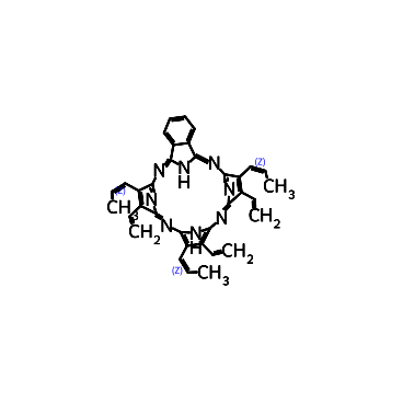 C=CC1=C(/C=C\C)c2nc1nc1[nH]c(nc3nc(nc4[nH]c(n2)c2ccccc42)C(/C=C\C)=C3C=C)c(/C=C\C)c1C=C